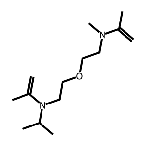 C=C(C)N(C)CCOCCN(C(=C)C)C(C)C